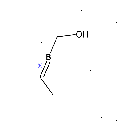 C/C=B/CO